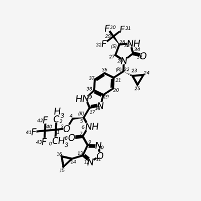 CC(C)(OC[C@H](NC(=O)c1nonc1C1CC1)c1nc2cc([C@@H](C3CC3)N3C[C@@H](C(F)(F)F)NC3=O)ccc2[nH]1)C(F)(F)F